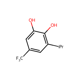 CC(C)c1cc(C(F)(F)F)cc(O)c1O